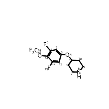 Fc1cc(OC2CCNCC2)cc(F)c1OC(F)(F)F